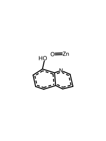 Oc1cccc2cccnc12.[O]=[Zn]